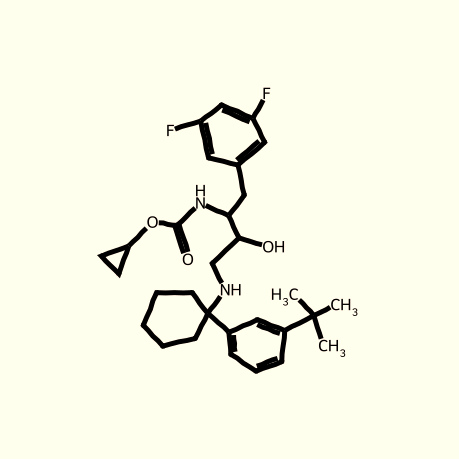 CC(C)(C)c1cccc(C2(NCC(O)C(Cc3cc(F)cc(F)c3)NC(=O)OC3CC3)CCCCC2)c1